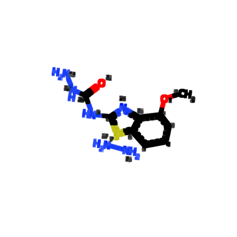 COc1cccc2sc(NC(=O)NN)nc12.NN